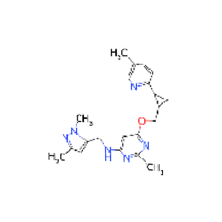 Cc1ccc(C2CC2COc2cc(NCc3cc(C)nn3C)nc(C)n2)nc1